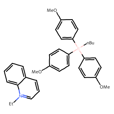 CCCC[B-](c1ccc(OC)cc1)(c1ccc(OC)cc1)c1ccc(OC)cc1.CC[n+]1cccc2ccccc21